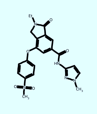 CCN1Cc2c(Oc3ccc(S(C)(=O)=O)cc3)cc(C(=O)Nc3ccn(C)n3)cc2C1=O